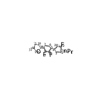 CCCc1ccc(-c2ccc(C3CCC(C)CO3)c(F)c2F)cc1F